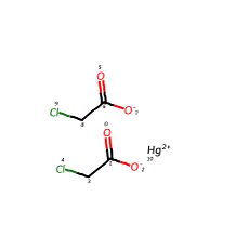 O=C([O-])CCl.O=C([O-])CCl.[Hg+2]